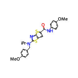 COc1ccc(CN(c2nc3sc(C(=O)Nc4ccc(OC)cc4)cc3s2)C(C)C)cc1